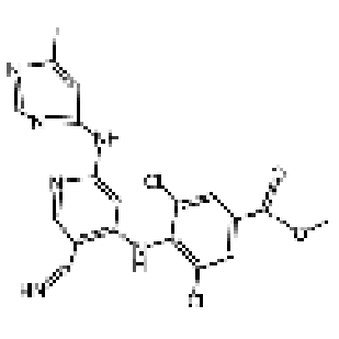 COC(=O)c1cc(Cl)c(Nc2cc(Nc3cc(C)ncn3)ncc2C=N)c(Cl)c1